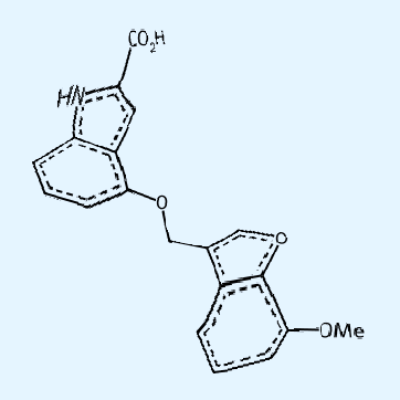 COc1cccc2c(COc3cccc4[nH]c(C(=O)O)cc34)coc12